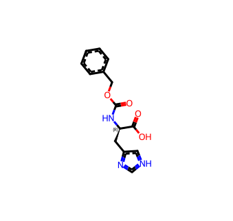 O=C(N[C@H](Cc1c[nH]cn1)C(=O)O)OCc1ccccc1